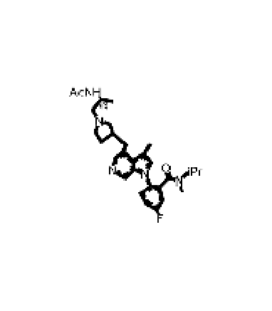 CC(=O)N[C@H](C)CN1CCC(Cc2cncc3c2c(C)cn3-c2ccc(F)cc2C(=O)N(C)C(C)C)C1